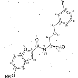 COc1ccc2oc(C(=O)N[C@H](C=O)COCc3cccc(F)c3)cc2c1